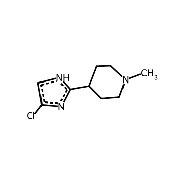 CN1CCC(c2nc(Cl)c[nH]2)CC1